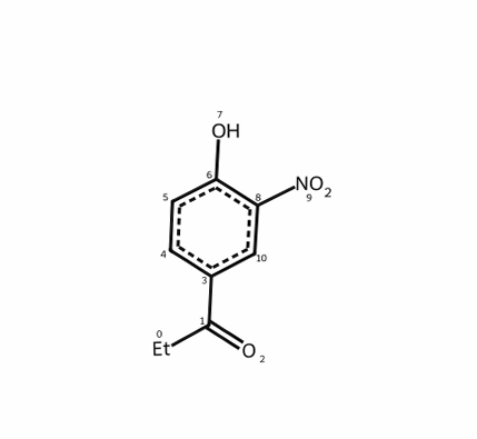 CCC(=O)c1ccc(O)c([N+](=O)[O-])c1